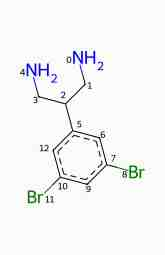 NCC(CN)c1cc(Br)cc(Br)c1